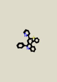 c1ccc(-c2nc3ccccc3c3c2cc(-c2ccccn2)c2sc4ccccc4c23)cc1